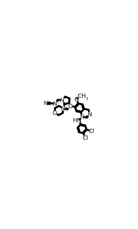 COc1cc2c(cc1OC[N+]1(C3CCCN3/C=N/C#N)CCOCC1)N(Nc1ccc(Cl)c(Cl)c1)C=NC2